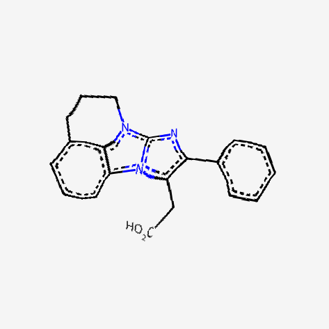 O=C(O)Cc1c(-c2ccccc2)nc2n3c4c(cccc4n12)CCC3